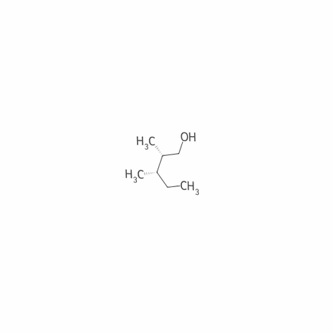 CC[C@H](C)[C@H](C)CO